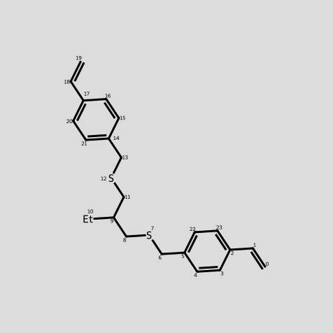 C=Cc1ccc(CSCC(CC)CSCc2ccc(C=C)cc2)cc1